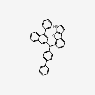 c1ccc(-c2ccc(N(c3cc(-c4ccccc4)c4ccccc4c3)c3cccc4c3oc3[nH]ccc34)cc2)cc1